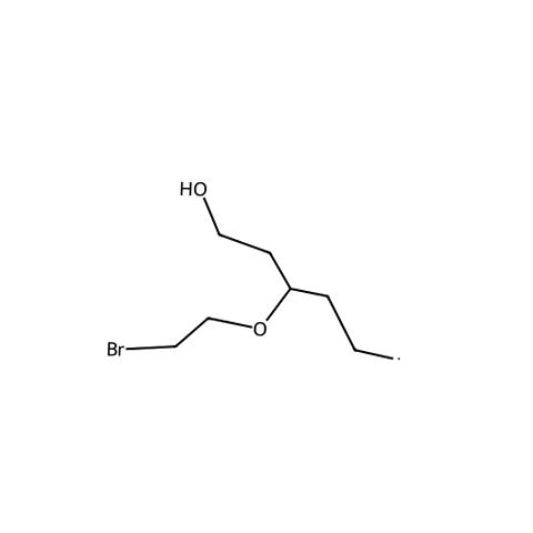 [CH2]CCC(CCO)OCCBr